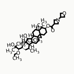 CCO[C@@H]([C@H]1C[C@@H](C)[C@H]2[C@H](O1)[C@H](O)[C@@]1(C)[C@@H]3CC[C@H]4C(C)(C)[C@@H](OC(=O)C5CN(C6COC6)C5)CCC45C[C@@]35CC[C@]21C)C(C)(C)O